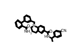 CC(NC(=O)c1ccc2c(c1)CCCN2Cc1cccc(-c2ccccc2C(N)=O)c1)c1ccc(C#N)cc1